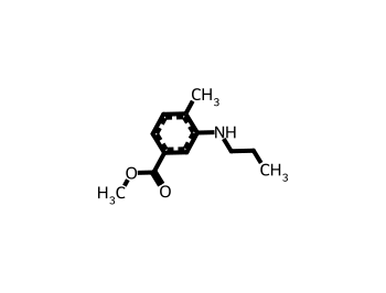 CCCNc1cc(C(=O)OC)ccc1C